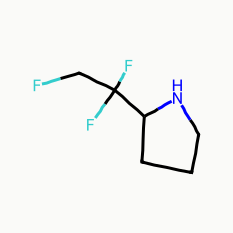 FCC(F)(F)C1CCCN1